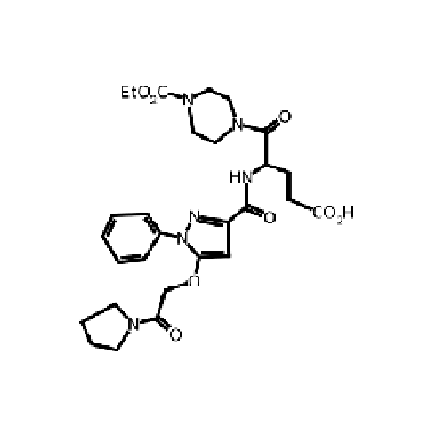 CCOC(=O)N1CCN(C(=O)C(CCC(=O)O)NC(=O)c2cc(OCC(=O)N3CCCC3)n(-c3ccccc3)n2)CC1